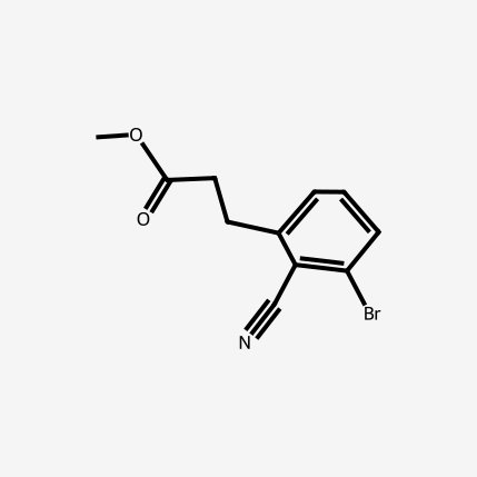 COC(=O)CCc1cccc(Br)c1C#N